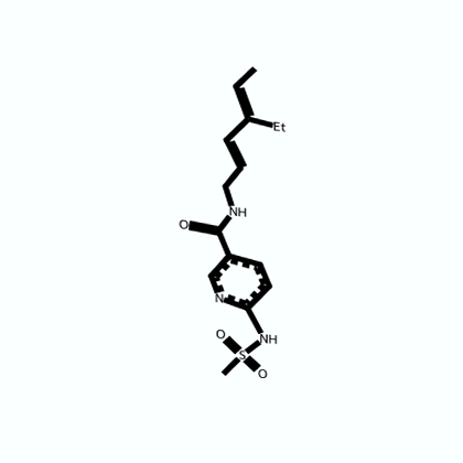 C/C=C(/C=C/CNC(=O)c1ccc(NS(C)(=O)=O)nc1)CC